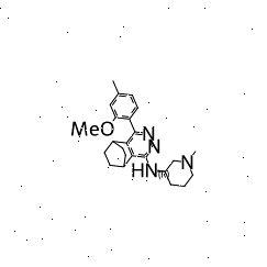 COc1cc(C)ccc1-c1nnc(N[C@@H]2CCCN(C)C2)c2c1C1CCC2CC1